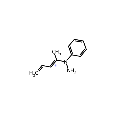 C=C/C=C(\C)N(N)c1ccccc1